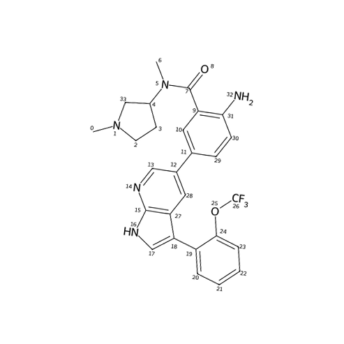 CN1CCC(N(C)C(=O)c2cc(-c3cnc4[nH]cc(-c5ccccc5OC(F)(F)F)c4c3)ccc2N)C1